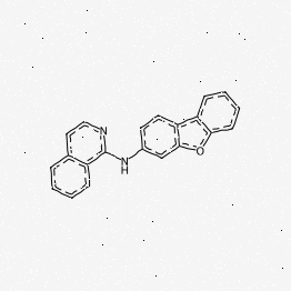 c1ccc2c(Nc3ccc4c(c3)oc3ccccc34)nccc2c1